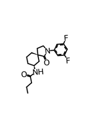 CCCC(=O)N[C@H]1CCC[C@]2(CCN(c3cc(F)cc(F)c3)C2=O)C1